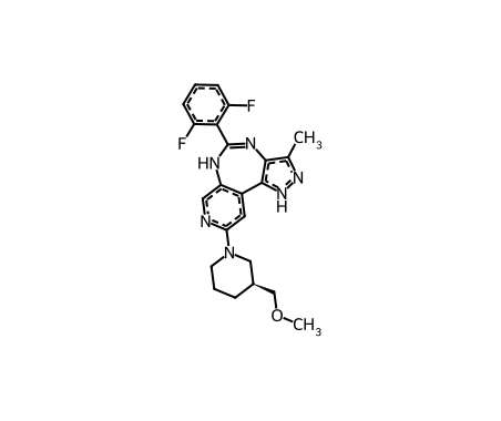 COC[C@H]1CCCN(c2cc3c(cn2)NC(c2c(F)cccc2F)=Nc2c(C)n[nH]c2-3)C1